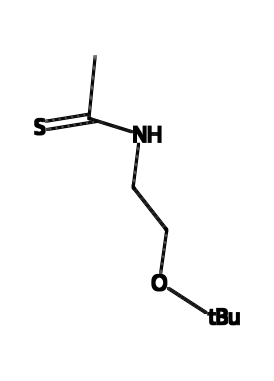 CC(=S)NCCOC(C)(C)C